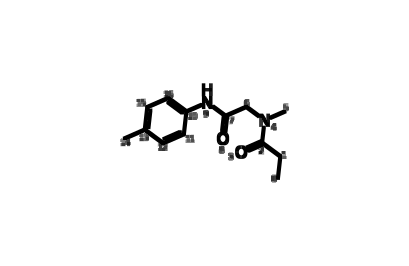 CCC(=O)N(C)CC(=O)Nc1ccc(C)cc1